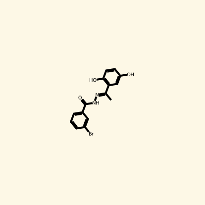 C/C(=N\NC(=O)c1cccc(Br)c1)c1cc(O)ccc1O